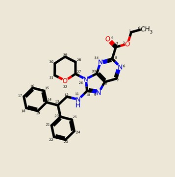 CCOC(=O)c1ncc2nc(NCC(c3ccccc3)c3ccccc3)n(C3CCCCO3)c2n1